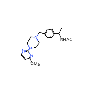 COc1ccnc(N2CCN(Cc3ccc(C(C)NC(C)=O)cc3)CC2)n1